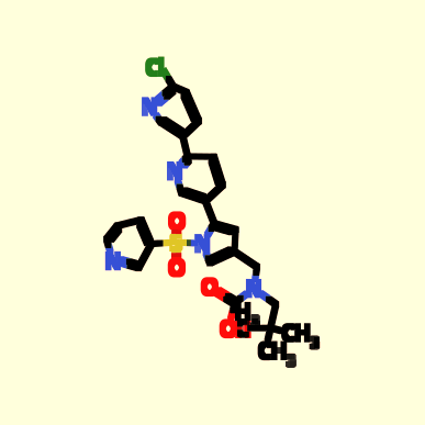 CC(C)(C)CN(Cc1cc(-c2ccc(-c3ccc(Cl)nc3)nc2)n(S(=O)(=O)c2cccnc2)c1)C(=O)O